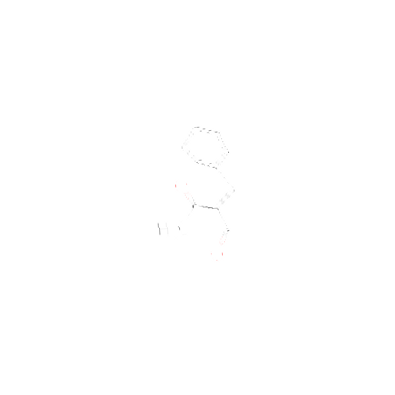 CC(=O)C([C]=O)=Cc1ccccc1